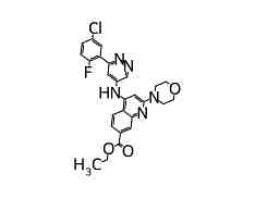 CCOC(=O)c1ccc2c(Nc3cnnc(-c4cc(Cl)ccc4F)c3)cc(N3CCOCC3)nc2c1